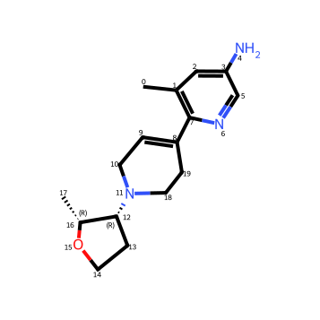 Cc1cc(N)cnc1C1=CCN([C@@H]2CCO[C@@H]2C)CC1